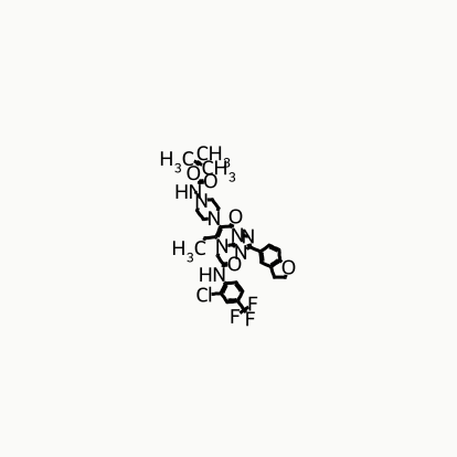 CCc1c(N2CCN(NC(=O)OC(C)(C)C)CC2)c(=O)n2nc(-c3ccc4c(c3)CCO4)nc2n1CC(=O)Nc1ccc(C(F)(F)F)cc1Cl